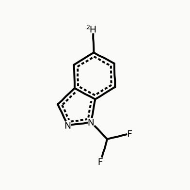 [2H]c1ccc2c(cnn2C(F)F)c1